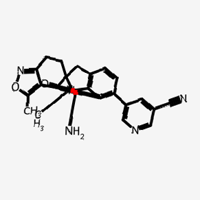 Cc1onc2c1CC1(CC2)Cc2ccc(-c3cncc(C#N)c3)cc2C12N=C(N)N(C)C2=O